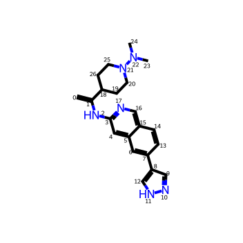 C=C(Nc1cc2cc(-c3cn[nH]c3)ccc2cn1)C1CCN(N(C)C)CC1